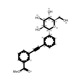 COC(=O)c1cccc(C#Cc2cccc([C@H]3O[C@H](CO)[C@@H](O)[C@H](O)[C@@H]3O)c2)c1